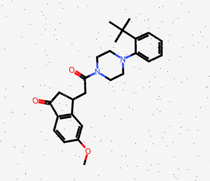 COc1ccc2c(c1)C(CC(=O)N1CCN(c3ccccc3C(C)(C)C)CC1)CC2=O